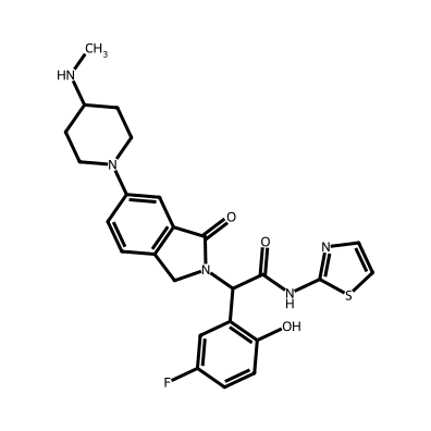 CNC1CCN(c2ccc3c(c2)C(=O)N(C(C(=O)Nc2nccs2)c2cc(F)ccc2O)C3)CC1